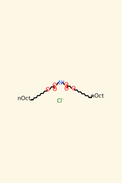 CCCCCCCC/C=C\CCCCCCCCOCCC(=O)OCC[N+](C)(C)CCOC(=O)CCOCCCCCCCC/C=C\CCCCCCCC.[Cl-]